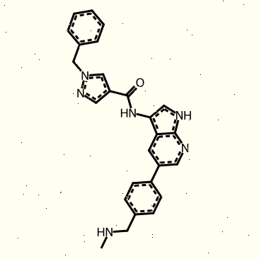 CNCc1ccc(-c2cnc3[nH]cc(NC(=O)c4cnn(Cc5ccccc5)c4)c3c2)cc1